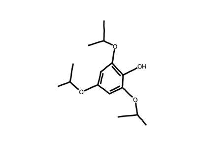 CC(C)Oc1cc(OC(C)C)c(O)c(OC(C)C)c1